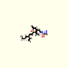 C=C/C=C(CCNC(C)=O)\C(=C/C)C(=O)/C=C/C(C=C)=C/C=C\C